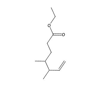 C=CC(C)C(C)CCC(=O)OCC